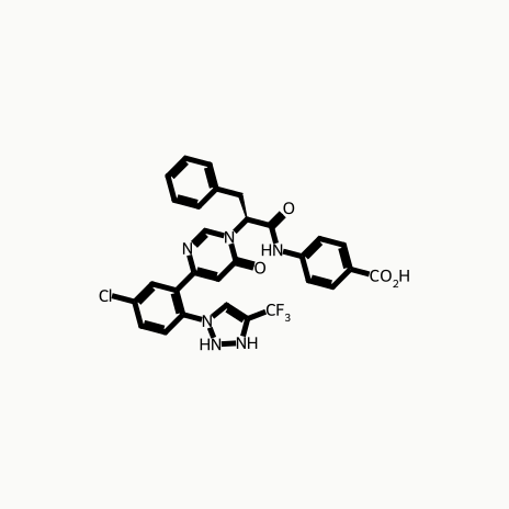 O=C(O)c1ccc(NC(=O)[C@H](Cc2ccccc2)n2cnc(-c3cc(Cl)ccc3N3C=C(C(F)(F)F)NN3)cc2=O)cc1